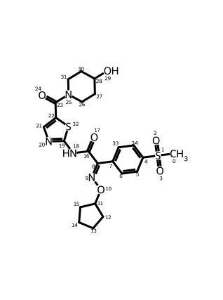 CS(=O)(=O)c1ccc(/C(=N\OC2CCCC2)C(=O)Nc2ncc(C(=O)N3CCC(O)CC3)s2)cc1